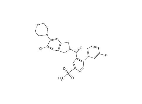 CS(=O)(=O)c1ccc(-c2cccc(F)c2)c(C(=O)N2Cc3cc(Cl)c(N4CCOCC4)cc3C2)c1